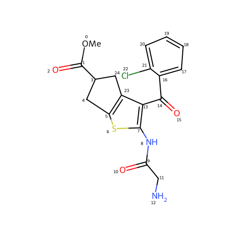 COC(=O)C1Cc2sc(NC(=O)CN)c(C(=O)c3ccccc3Cl)c2C1